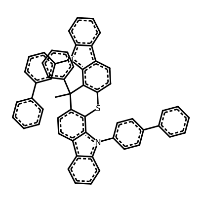 CC1(c2ccccc2)c2ccc3c4ccccc4n(-c4ccc(-c5ccccc5)cc4)c3c2Sc2ccc3c4ccccc4n(-c4cccc(-c5ccccc5)c4)c3c21